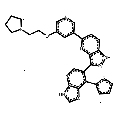 c1csc(-c2c(-c3n[nH]c4ccc(-c5cncc(OCCN6CCCC6)c5)nc34)cnc3[nH]cnc23)c1